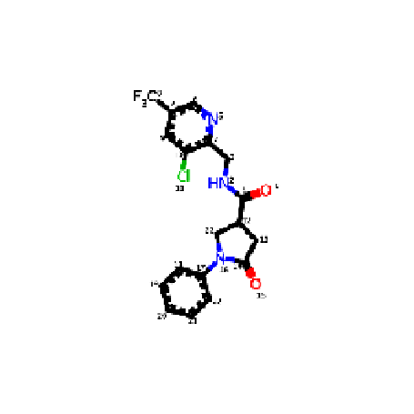 O=C(NCc1ncc(C(F)(F)F)cc1Cl)C1CC(=O)N(c2ccccc2)C1